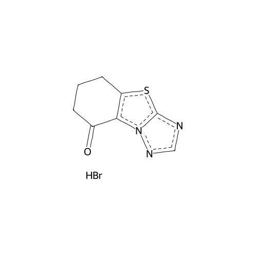 Br.O=C1CCCc2sc3ncnn3c21